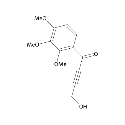 COc1ccc(C(=O)C#CCO)c(OC)c1OC